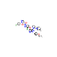 COc1ccc(Cn2nc(N3CCCCC3CN(C)C)c3c(Oc4ccc(NC(=O)c5ccnn(-c6ccc(F)cc6)c5=O)cc4F)ccnc32)cc1